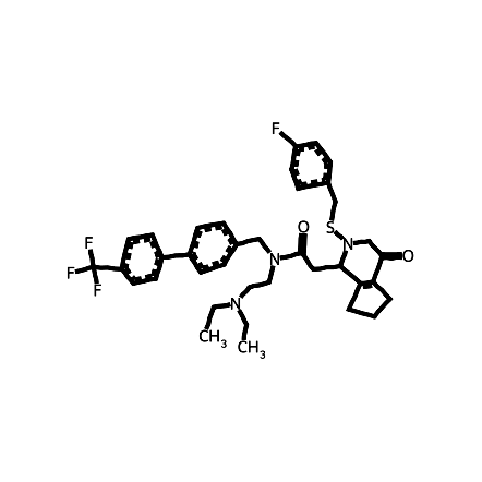 CCN(CC)CCN(Cc1ccc(-c2ccc(C(F)(F)F)cc2)cc1)C(=O)CC1C2=C(CCC2)C(=O)CN1SCc1ccc(F)cc1